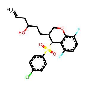 C=CCC(O)CC[C@H]1COc2c(F)ccc(F)c2[C@@H]1S(=O)(=O)c1ccc(Cl)cc1